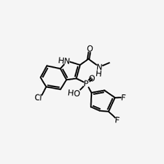 CNC(=O)c1[nH]c2ccc(Cl)cc2c1P(=O)(O)c1ccc(F)c(F)c1